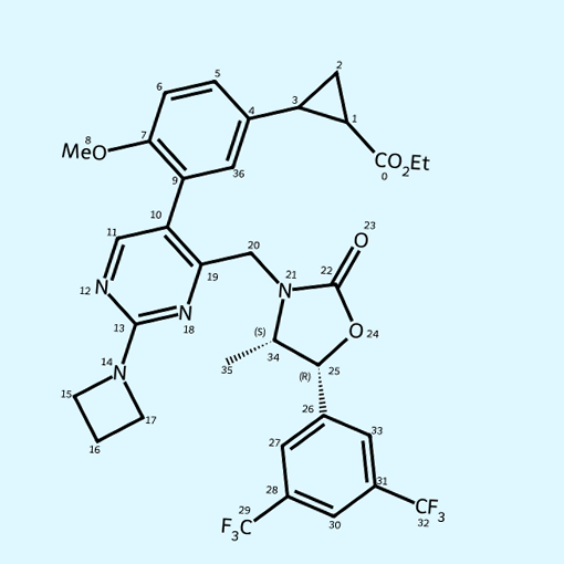 CCOC(=O)C1CC1c1ccc(OC)c(-c2cnc(N3CCC3)nc2CN2C(=O)O[C@H](c3cc(C(F)(F)F)cc(C(F)(F)F)c3)[C@@H]2C)c1